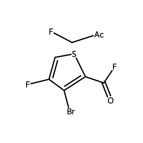 CC(=O)CF.O=C(F)c1scc(F)c1Br